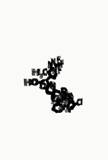 Cc1ccc([C@H](CC(=O)O)c2ccn3c(C(F)(F)F)nnc3c2C)nc1CN1C[C@@H]2CCCCN2c2ncc(Cl)cc2S1(=O)=O